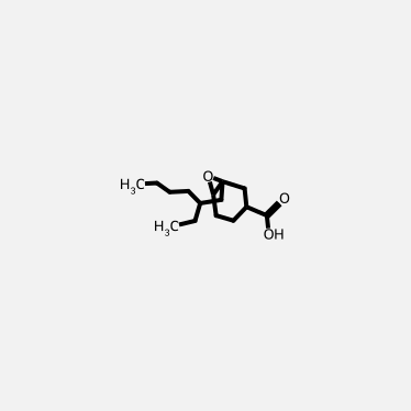 CCCCC(CC)CC12CC(C(=O)O)CCC1O2